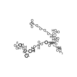 Cc1cccc(-c2nc(CNc3ccc(F)c(C(=O)O)c3)[nH]c2-c2ccc3ncc(OCCNC(=O)OCc4ccc(NC(=O)[C@H](CCCNC(N)=O)NC(=O)[C@@H](NC(=O)[C@H](CCC(=O)O)NC(=O)CCOCCOCCOCCOCCN5C(=O)C=CC5=O)C(C)C)cc4)nc3c2)n1